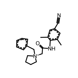 Cc1cc(C#N)cc(C)c1NC(=O)C[N+]1(Cc2ccccc2)CCCC1